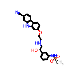 CS(=O)(=O)Nc1cccc([C@H](O)CNCCOc2ccc3c(c2)[nH]c2cc(C#N)ccc23)c1